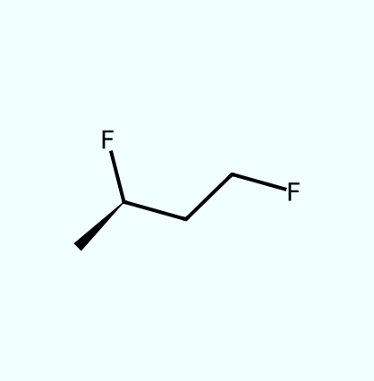 C[C@@H](F)CCF